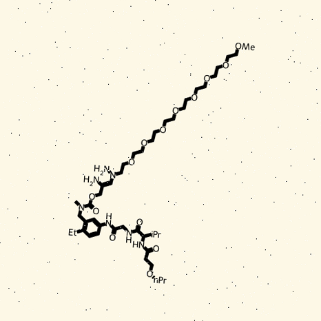 CCCOCCC(=O)NC(C(=O)NCC(=O)Nc1ccc(CC)c(CN(C)C(=O)OC/C(N)=C/N(N)CCOCCOCCOCCOCCOCCOCCOCCOC)c1)C(C)C